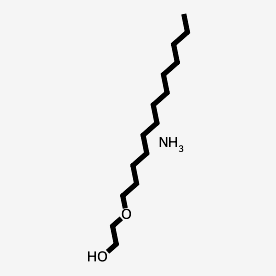 CCCCCCCCCCCCCOCCO.N